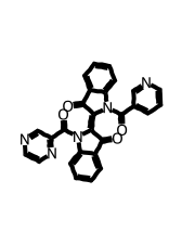 O=C1/C(=C2/C(=O)c3ccccc3N2C(=O)c2cnccn2)N(C(=O)c2cccnc2)c2ccccc21